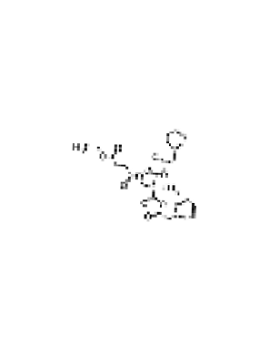 CCOC(=O)/C=C/C(=O)OCC(C)(C(=O)OC(=O)Cc1ccccc1)C(=O)OC(=O)Cc1ccccc1